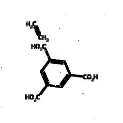 C=C.O=C(O)c1cc(C(=O)O)cc(C(=O)O)c1